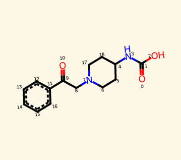 O=C(O)NC1CCN(CC(=O)c2ccccc2)CC1